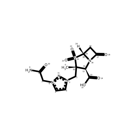 C[C@]1(Cn2cc[n+](CC(N)=O)n2)[C@H](C(=O)O)N2C(=O)C[C@H]2S1(=O)=O